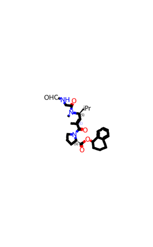 C/C(=C\[C@H](C(C)C)N(C)C(=O)CNC=O)C(=O)N1CCC[C@H]1C(=O)OC1CCCc2ccccc21